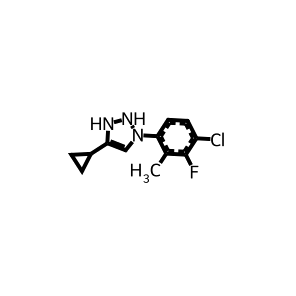 Cc1c(N2C=C(C3CC3)NN2)ccc(Cl)c1F